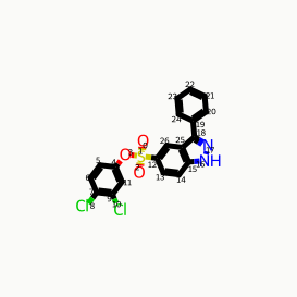 O=S(=O)(Oc1ccc(Cl)c(Cl)c1)c1ccc2[nH]nc(-c3ccccc3)c2c1